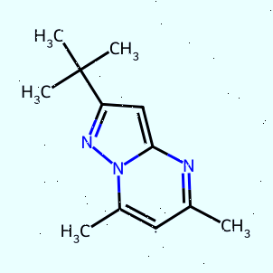 Cc1[c]c(C)n2nc(C(C)(C)C)cc2n1